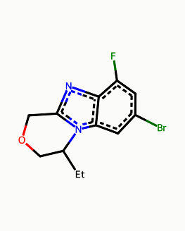 CCC1COCc2nc3c(F)cc(Br)cc3n21